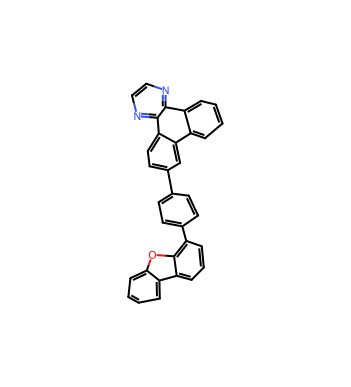 c1ccc2c(c1)oc1c(-c3ccc(-c4ccc5c(c4)c4ccccc4c4nccnc54)cc3)cccc12